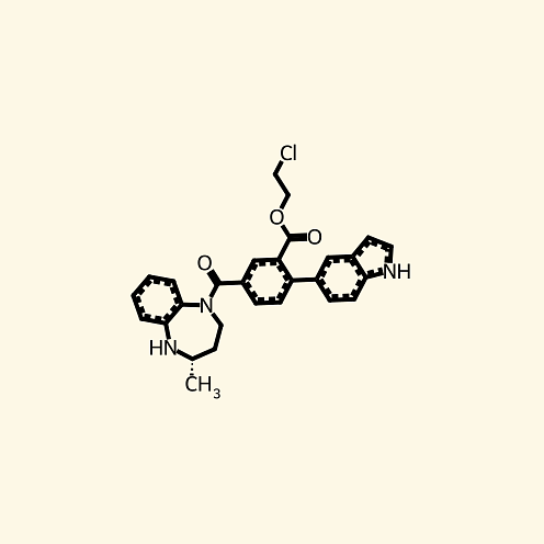 C[C@H]1CCN(C(=O)c2ccc(-c3ccc4[nH]ccc4c3)c(C(=O)OCCCl)c2)c2ccccc2N1